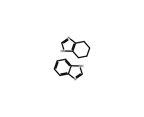 c1ccc2[nH]cnc2c1.c1nc2c([nH]1)CCCC2